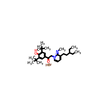 Br.CCC(CC)CCc1cccn(CC(=O)c2cc(C(C)(C)C)c(O)c(C(C)(C)C)c2)/c1=N/C